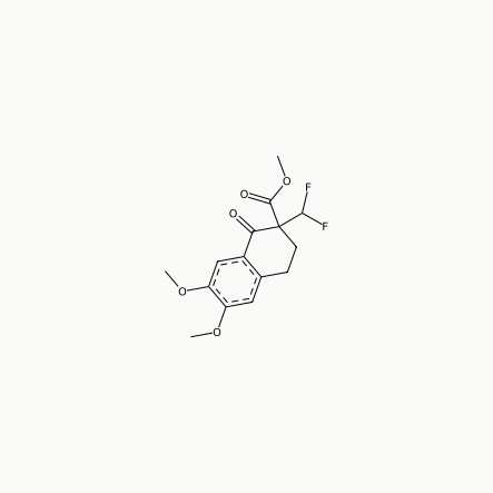 COC(=O)C1(C(F)F)CCc2cc(OC)c(OC)cc2C1=O